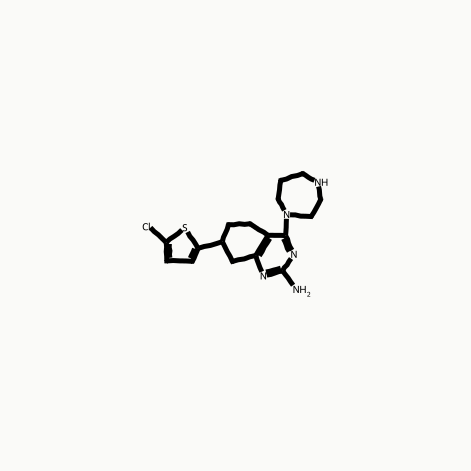 Nc1nc2c(c(N3CCCNCC3)n1)CCC(c1ccc(Cl)s1)C2